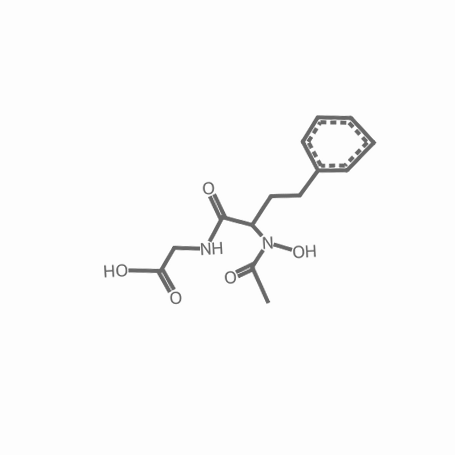 CC(=O)N(O)C(CCc1ccccc1)C(=O)NCC(=O)O